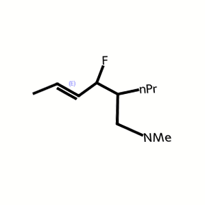 C/C=C/C(F)C(CCC)CNC